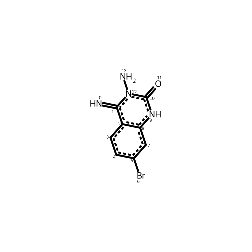 N=c1c2ccc(Br)cc2[nH]c(=O)n1N